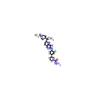 C[C@@H](c1ccc2cnc(Nc3ccc([C@@H]4CCCN(C(N)=O)C4)cc3F)cc2n1)C1CCN(C)CC1